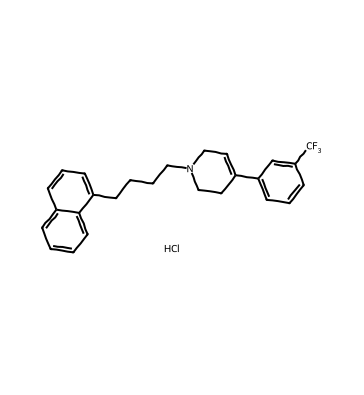 Cl.FC(F)(F)c1cccc(C2=CCN(CCCCc3cccc4ccccc34)CC2)c1